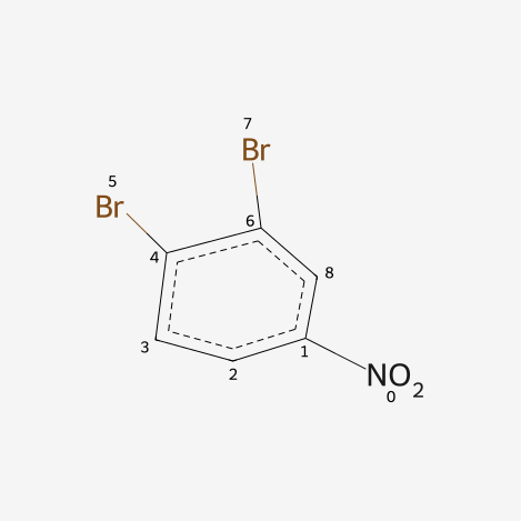 O=[N+]([O-])c1ccc(Br)c(Br)c1